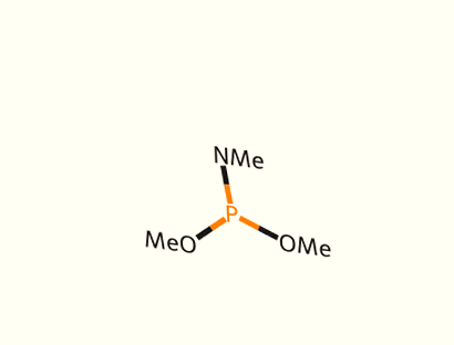 CNP(OC)OC